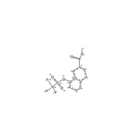 COC(=O)c1ccc2cccc(OS(=O)(=O)C(F)(F)F)c2c1